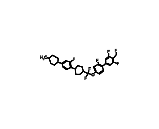 CC1CCC(c2ccc(C3CCC(C(F)(F)Oc4ccc(-c5cc(F)c(CF)c(F)c5)c(F)c4)CC3)c(F)c2)CC1